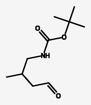 CC(CC=O)CNC(=O)OC(C)(C)C